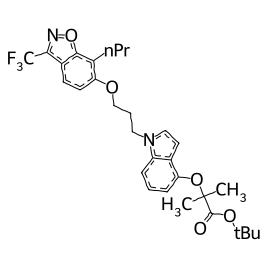 CCCc1c(OCCCn2ccc3c(OC(C)(C)C(=O)OC(C)(C)C)cccc32)ccc2c(C(F)(F)F)noc12